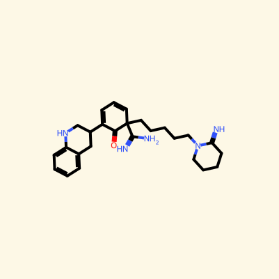 N=C1CCCCN1CCCCCC1(C(=N)N)C=CC=C(C2CNc3ccccc3C2)C1=O